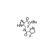 CN(Cc1[nH]cnc1C(=O)OC(C)(C)C)C(=O)c1c(F)ccnc1F